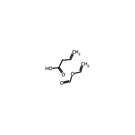 C=CCC(=O)O.C=COC=O